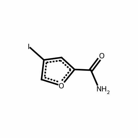 NC(=O)c1cc(I)co1